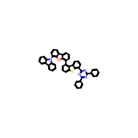 c1ccc(-c2nc(-c3ccccc3)nc(-c3cccc4c3sc3cccc(-c5cccc6c5oc5c(-n7c8ccccc8c8ccccc87)cccc56)c34)n2)cc1